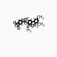 Cc1cc(C)c(C)c(-c2cc(C)c(OC(=O)c3ccc4c(c3)C(=O)OC4=O)c(C)c2C)c1